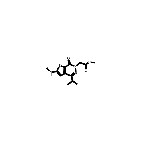 CNc1cc2c(C(C)C)nn(CC(=O)OC)c(=O)c2s1